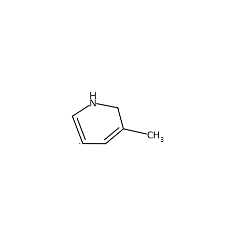 CC1=C[C]=CNC1